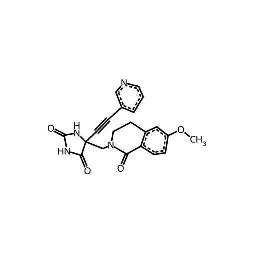 COc1ccc2c(c1)CCN(CC1(C#Cc3cccnc3)NC(=O)NC1=O)C2=O